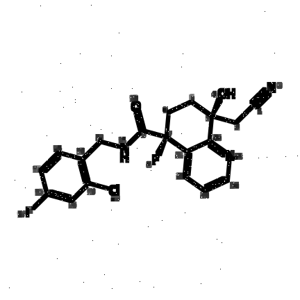 N#CC[C@@]1(O)CC[C@@](F)(C(=O)NCc2ccc(F)cc2Cl)c2cccnc21